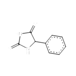 O=C1NC(=S)NC1c1cc[c]cc1